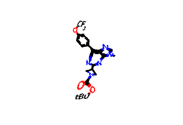 Cn1cnc2c(-c3ccc(OC(F)(F)F)cc3)nc(C3CN(C(=O)OC(C)(C)C)C3)nc21